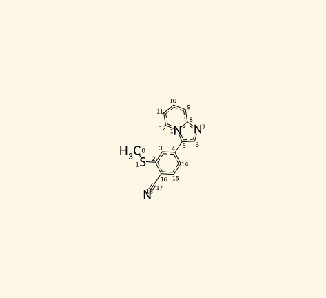 CSc1cc(-c2cnc3ccccn23)ccc1C#N